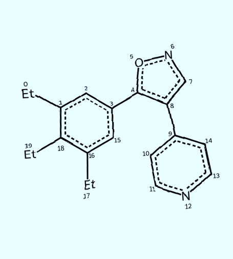 CCc1cc(-c2oncc2-c2ccncc2)cc(CC)c1CC